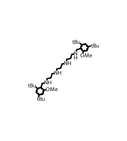 COc1cc(C(C)(C)C)cc(C(C)(C)C)c1CNCCCNCCCNCCCNCc1c(OC)cc(C(C)(C)C)cc1C(C)(C)C